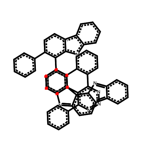 c1ccc(-c2ccc3c([nH]c4ccccc43)c2-c2ccc3c(c2-c2ccccc2-c2nnnc(-c4ccccc4)c2-c2ccccc2)-c2c4c(ccc2=N3)=c2ccccc2=N4)cc1